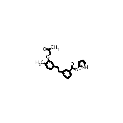 CC(=O)COc1cc(CCc2cccc(C(=O)Nc3ccc[nH]3)c2)ccc1C